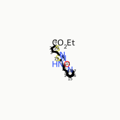 CCOC(=O)C1CCC(c2nnc(NC(=O)Cc3ccccn3)s2)S1